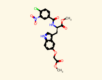 COC(=O)COc1ccc2[nH]cc(C[C@@H](NC(=O)c3ccc(Cl)c([N+](=O)[O-])c3)C(=O)OC)c2c1